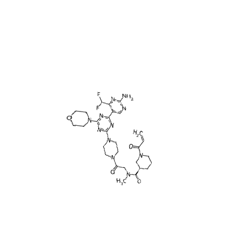 C=CC(=O)N1CCC[C@@H](C(=O)N(C)CC(=O)N2CCN(c3nc(-c4cnc(N)nc4C(F)F)nc(N4CCOCC4)n3)CC2)C1